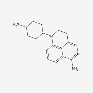 Nc1ncc2c3c(cccc13)N(C1CCC(N)CC1)CC2